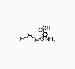 CC(C)=CCCC(C)=CCCC(C)=CCOc1cc(C(=O)O)ccc1N